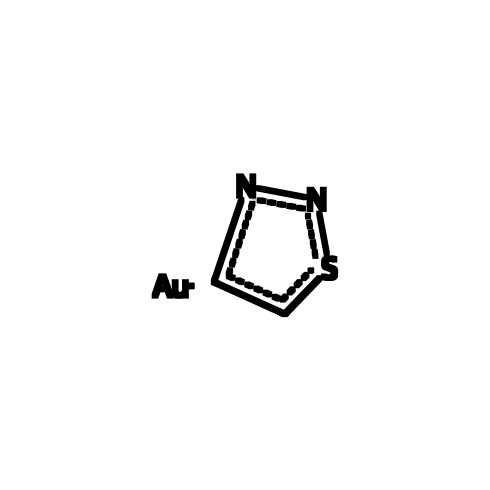 [Au].c1csnn1